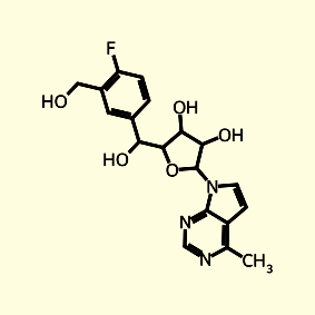 Cc1ncnc2c1ccn2C1OC(C(O)c2ccc(F)c(CO)c2)C(O)C1O